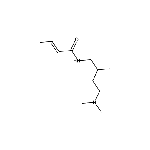 CC=CC(=O)NCC(C)CCN(C)C